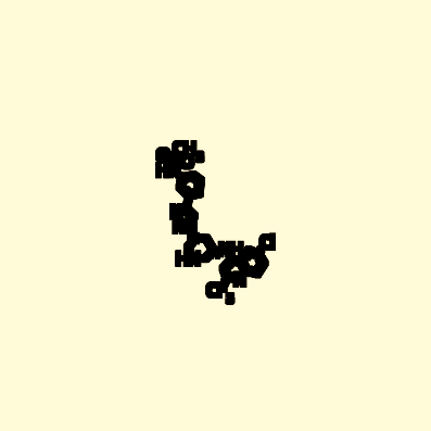 CS(=O)(=O)Nc1cccc(-c2cn([C@@H]3CNC[C@H](Nc4cc(C(F)(F)F)nc5ccc(Cl)cc45)C3)nn2)c1